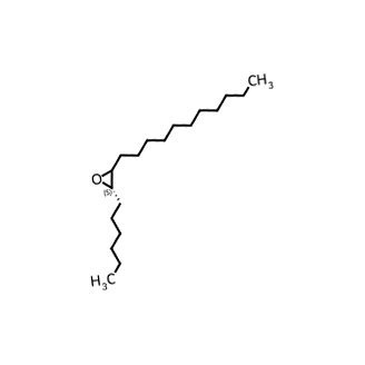 CCCCCCCCCCCC1O[C@H]1CCCCCC